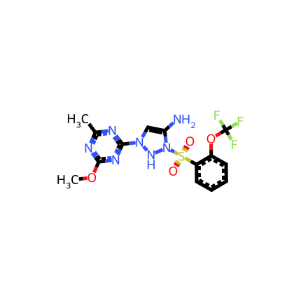 COc1nc(C)nc(N2C=C(N)N(S(=O)(=O)c3ccccc3OC(F)(F)F)N2)n1